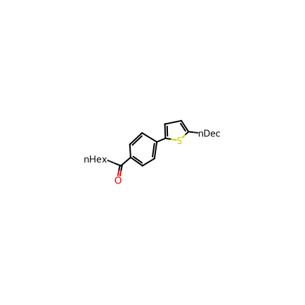 CCCCCCCCCCc1ccc(-c2ccc(C(=O)CCCCCC)cc2)s1